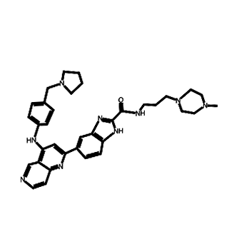 CN1CCN(CCCNC(=O)c2nc3cc(-c4cc(Nc5ccc(CN6CCCC6)cc5)c5cnccc5n4)ccc3[nH]2)CC1